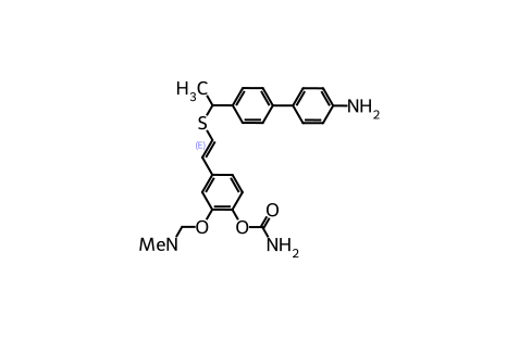 CNCOc1cc(/C=C/SC(C)c2ccc(-c3ccc(N)cc3)cc2)ccc1OC(N)=O